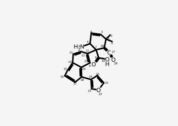 CC1(C)C=CC(N)C(C(=O)O)(c2ccc3cccc(-c4ccoc4)c3c2)C1=C=O